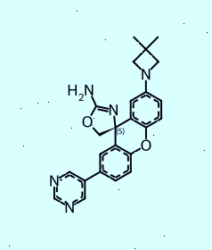 CC1(C)CN(c2ccc3c(c2)[C@]2(COC(N)=N2)c2cc(-c4cncnc4)ccc2O3)C1